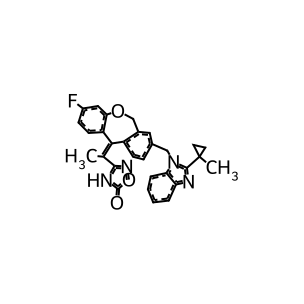 CC(=C1c2ccc(Cn3c(C4(C)CC4)nc4ccccc43)cc2COc2cc(F)ccc21)c1noc(=O)[nH]1